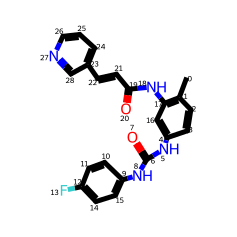 Cc1ccc(NC(=O)Nc2ccc(F)cc2)cc1NC(=O)/C=C/c1cccnc1